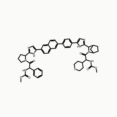 COC(=O)NC(C(=O)N1CCCC1c1ncc(-c2ccc3cc(-c4ccc(-c5cnc(C6C7CCC(C7)N6C(=O)C(NC(=O)OC)C6CCOCC6)[nH]5)cc4)ccc3c2)[nH]1)c1ccccc1